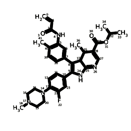 C=CC(=O)Nc1cc(C2=C(c3ccc(N4CCN(C)CC4)c(F)c3)NC3=NC=C(C(=O)OC(C)C)C(C)C32)ccc1C